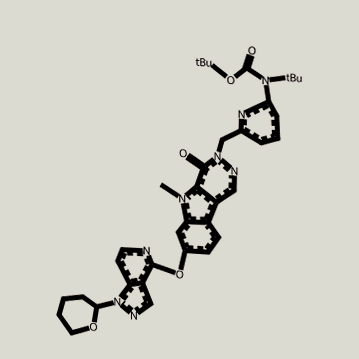 Cn1c2cc(Oc3nccc4c3cnn4C3CCCCO3)ccc2c2cnn(Cc3cccc(N(C(=O)OC(C)(C)C)C(C)(C)C)n3)c(=O)c21